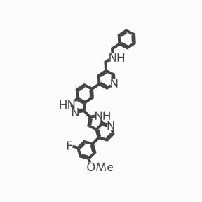 COc1cc(F)cc(-c2ccnc3[nH]c(-c4n[nH]c5ccc(-c6cncc(CNCc7ccccc7)c6)cc45)cc23)c1